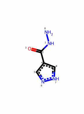 NNC(=O)c1cn[nH]c1